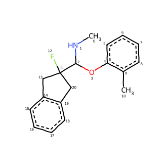 CNC(Oc1ccccc1C)C1(F)Cc2ccccc2C1